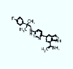 C=C(N)c1cc(-c2ccc(NCC(C)(C)c3ccc(F)cc3)nn2)cc2cn[nH]c12